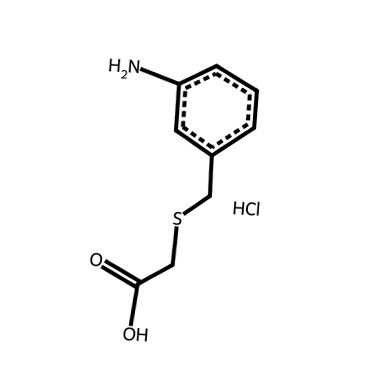 Cl.Nc1cccc(CSCC(=O)O)c1